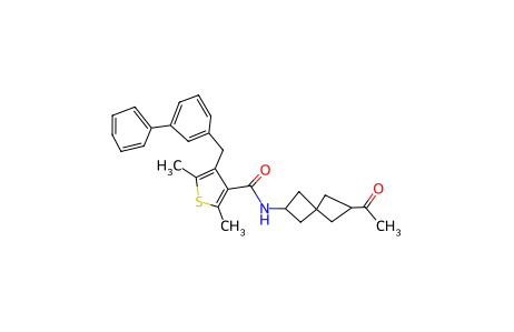 CC(=O)C1CC2(CC(NC(=O)c3c(C)sc(C)c3Cc3cccc(-c4ccccc4)c3)C2)C1